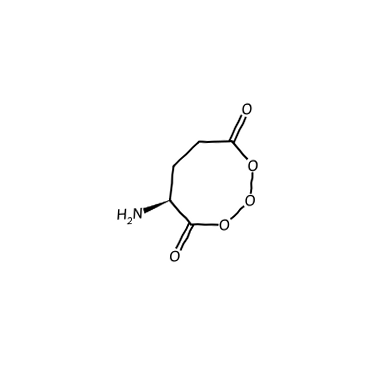 N[C@H]1CCC(=O)OOOC1=O